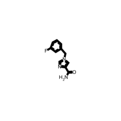 NC(=O)c1cn(Cc2cccc(F)c2)cn1